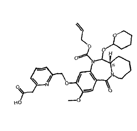 C=CCOC(=O)N1c2cc(OCc3cccc(CC(=O)O)n3)c(OC)cc2C(=O)N2CCCC[C@H]2C1OC1CCCCO1